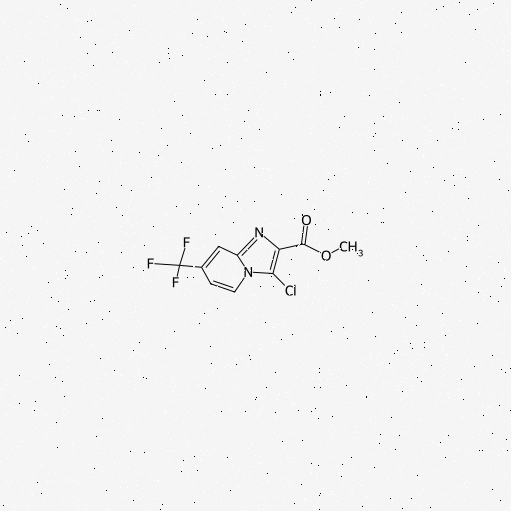 COC(=O)c1nc2cc(C(F)(F)F)ccn2c1Cl